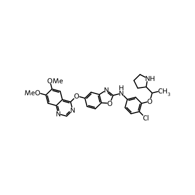 COc1cc2ncnc(Oc3ccc4oc(Nc5ccc(Cl)c(OC(C)C6CCCN6)c5)nc4c3)c2cc1OC